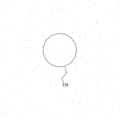 N#CCCC1CCCCCCCCCCCCCC1